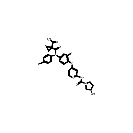 NC(=O)C1(C(=O)N(c2ccc(F)cc2)c2ccc(Oc3ccnc(NC(=O)N4CC[C@H](O)C4)c3)c(F)c2)CC1